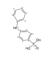 O=P(O)(O)c1ccc(Pc2ccccc2)cc1